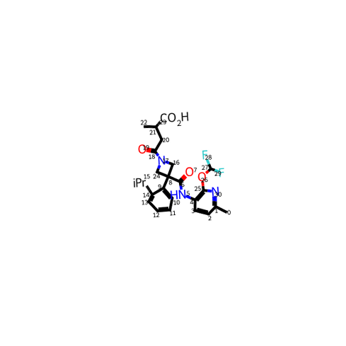 Cc1ccc(NC(=O)C2(c3ccccc3C(C)C)CN(C(=O)CC(C)C(=O)O)C2)c(OC(F)F)n1